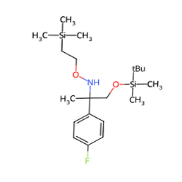 CC(CO[Si](C)(C)C(C)(C)C)(NOCC[Si](C)(C)C)c1ccc(F)cc1